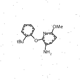 COc1ccc(N)c(Oc2ccccc2C(C)(C)C)n1